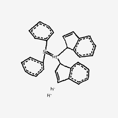 C1=C[CH]([Hf]([CH]2C=Cc3ccccc32)=[Si](c2ccccc2)c2ccccc2)c2ccccc21.[H-].[H-]